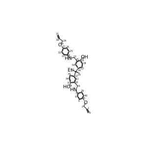 C#CCOc1ccc(NCc2cc(C(C)(CC)c3ccc(O)c(CNc4ccc(OCC#C)cc4)c3)ccc2O)cc1